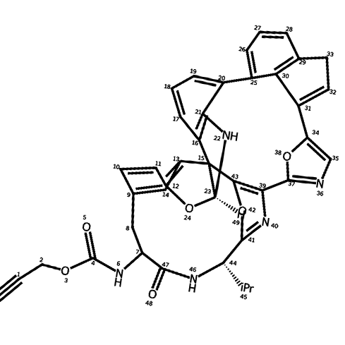 C#CCOC(=O)NC1Cc2ccc3c(c2)C24c5cccc(c5N[C@H]2O3)-c2cccc3c2C(=CC3)c2cnc(o2)-c2nc(oc24)[C@H](C(C)C)NC1=O